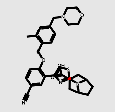 Cc1cc(CN2CCOCC2)ccc1COc1ccc(C#N)cc1-c1csc(N2C3CCC2CC(C(=O)O)C3)n1